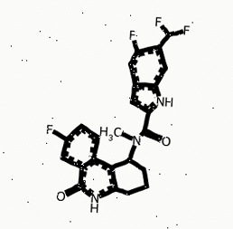 CN(C(=O)c1cc2cc(F)c(C(F)F)cc2[nH]1)C1CCCc2[nH]c(=O)c3cc(F)ccc3c21